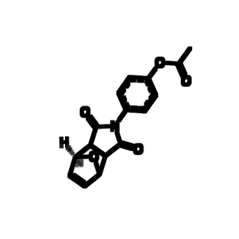 CC(=O)Oc1ccc(N2C(=O)C3C4C=C[C@H](O4)C3C2=O)cc1